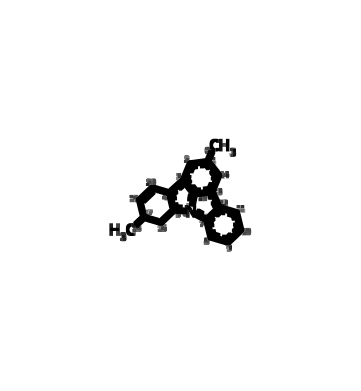 Cc1cc2c3c(n4c5ccccc5c(c1)c24)CC(C)C=C3